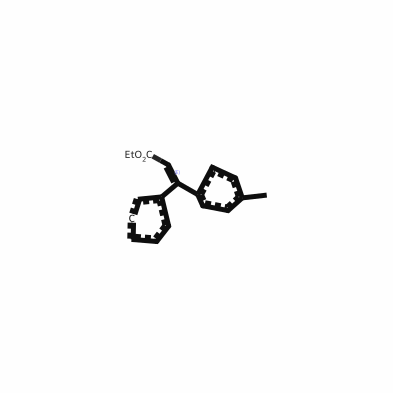 CCOC(=O)/C=C(\c1ccccc1)c1ccc(C)cc1